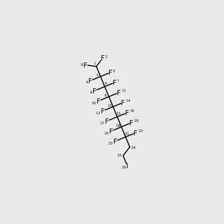 FC(F)C(F)(F)C(F)(F)C(F)(F)C(F)(F)C(F)(F)C(F)(F)C(F)(F)CCI